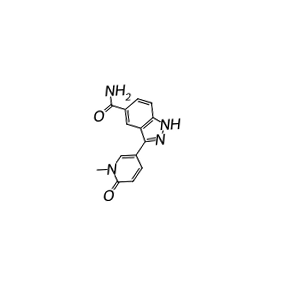 Cn1cc(-c2n[nH]c3ccc(C(N)=O)cc23)ccc1=O